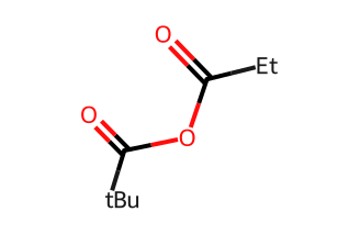 [CH2]CC(=O)OC(=O)C(C)(C)C